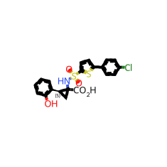 O=C(O)C1(NS(=O)(=O)c2ccc(-c3ccc(Cl)cc3)s2)C[C@H]1c1ccccc1O